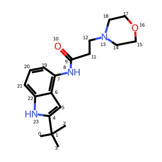 CC(C)(C)c1cc2c(NC(=O)CCN3CCOCC3)cccc2[nH]1